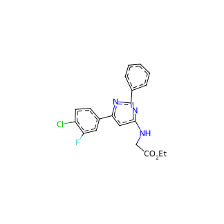 CCOC(=O)CNc1cc(-c2ccc(Cl)c(F)c2)nc(-c2ccccc2)n1